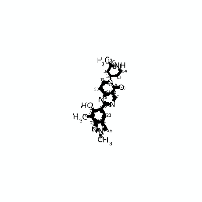 Cc1c(O)c(-c2ncc3c(=O)n([C@@H]4CCNC(C)C4)ccc3n2)cc2cn(C)nc12